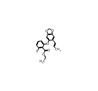 CC=Cc1cc2c(cc1Oc1cccc(F)c1C(=O)OCC)OCO2